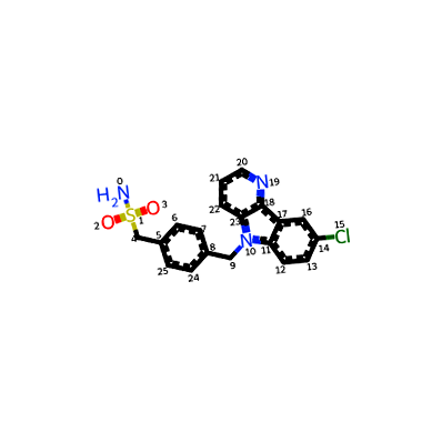 NS(=O)(=O)Cc1ccc(Cn2c3ccc(Cl)cc3c3ncccc32)cc1